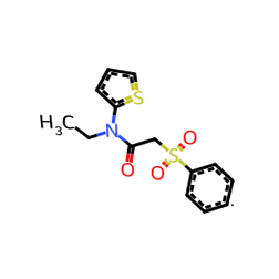 CCN(C(=O)CS(=O)(=O)c1cc[c]cc1)c1cccs1